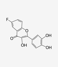 O=c1c(O)c(-c2ccc(O)c(O)c2)oc2ccc(F)cc12